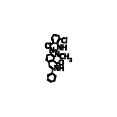 Cn1c(Nc2c(Cl)cccc2Cl)nc2ccc3cc(-c4ccccc4)[nH]c(=O)c3c21